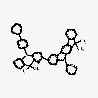 CC1(C)c2ccccc2-c2cc3c4cc(-c5ccc6c(c5)C(C)(C)c5ccccc5N6c5ccc(-c6ccccc6)cc5)ccc4n(-c4ccccc4)c3cc21